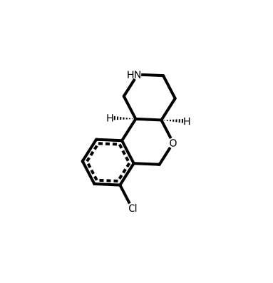 Clc1cccc2c1CO[C@@H]1CCNC[C@H]21